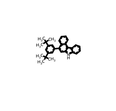 CC(C)(C)c1cc(-c2cc3[nH]c4ccccc4c3c3ccccc23)cc(C(C)(C)C)c1